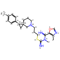 Cc1ncoc1C(=N)N(C)C(=N)SCCCN1CCC[C@]2(C[C@H]2c2ccc(C(F)(F)F)cc2)C1